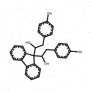 Oc1ccc(CC(O)C2(C(O)Cc3ccc(O)cc3)c3ccccc3-c3ccccc32)cc1